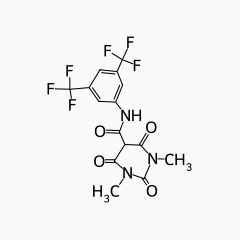 CN1C(=O)C(C(=O)Nc2cc(C(F)(F)F)cc(C(F)(F)F)c2)C(=O)N(C)C1=O